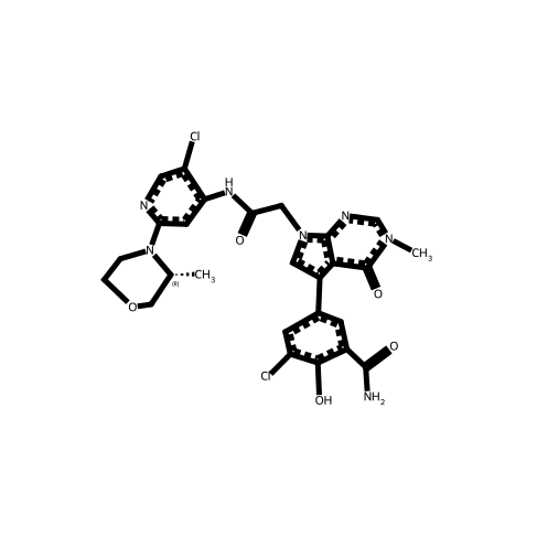 C[C@@H]1COCCN1c1cc(NC(=O)Cn2cc(-c3cc(Cl)c(O)c(C(N)=O)c3)c3c(=O)n(C)cnc32)c(Cl)cn1